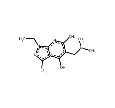 CCn1nc(C)c2c(O)c(CN(C)C)c(C)nc21